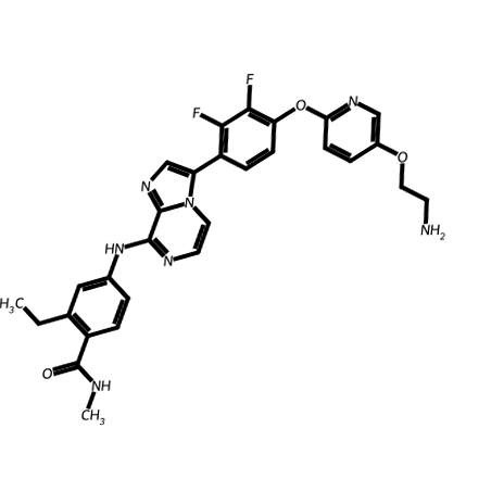 CCc1cc(Nc2nccn3c(-c4ccc(Oc5ccc(OCCN)cn5)c(F)c4F)cnc23)ccc1C(=O)NC